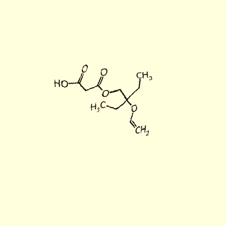 C=COC(CC)(CC)COC(=O)CC(=O)O